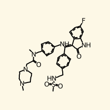 CN1CCN(CC(=O)N(C)c2ccc(NC(=C3C(=O)Nc4cc(F)ccc43)c3ccc(CNS(C)(=O)=O)cc3)cc2)CC1